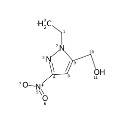 [CH2]Cn1nc([N+](=O)[O-])cc1CO